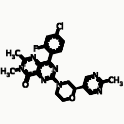 Cc1ncc([C@@H]2CN(c3nc(-c4ccc(Cl)cc4F)c4nc(C)n(C)c(=O)c4n3)CCO2)cn1